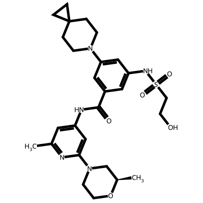 Cc1cc(NC(=O)c2cc(NS(=O)(=O)CCO)cc(N3CCC4(CC3)CC4)c2)cc(N2CCO[C@H](C)C2)n1